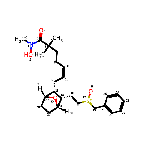 CN(O)C(=O)C(C)(C)CC/C=C\C[C@@H]1[C@H](CC[S+]([O-])Cc2ccccc2)[C@@H]2CC[C@H]1O2